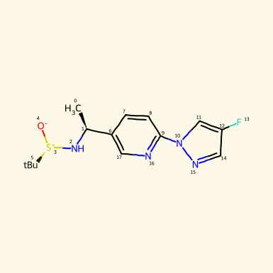 C[C@H](N[S@+]([O-])C(C)(C)C)c1ccc(-n2cc(F)cn2)nc1